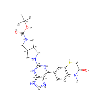 CN1C(=O)CSc2cc(-c3nc(N4CC5CN(C(=O)OC(C)(C)C)CC5C4)nc4[nH]cnc34)ccc21